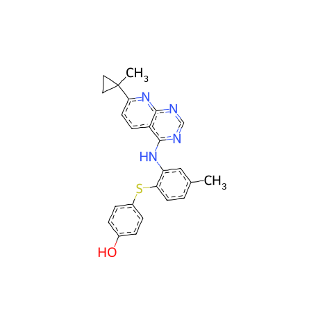 Cc1ccc(Sc2ccc(O)cc2)c(Nc2ncnc3nc(C4(C)CC4)ccc23)c1